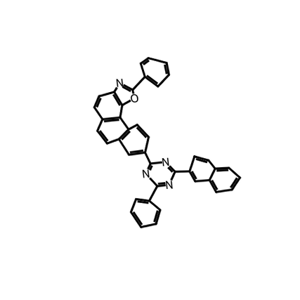 c1ccc(-c2nc(-c3ccc4ccccc4c3)nc(-c3ccc4c(ccc5ccc6nc(-c7ccccc7)oc6c54)c3)n2)cc1